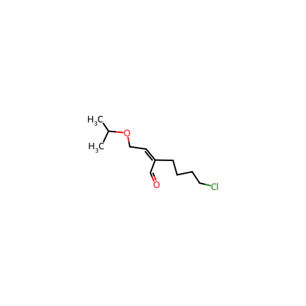 CC(C)OC/C=C(\C=O)CCCCCl